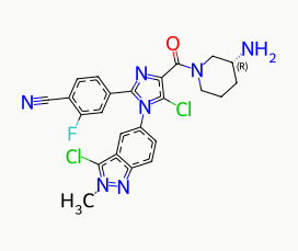 Cn1nc2ccc(-n3c(-c4ccc(C#N)c(F)c4)nc(C(=O)N4CCC[C@@H](N)C4)c3Cl)cc2c1Cl